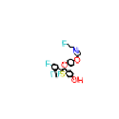 CC(F)(F)c1cc(F)ccc1-c1sc2cc(O)ccc2c1Oc1ccc(OC2CCN(CCCF)C2)cc1